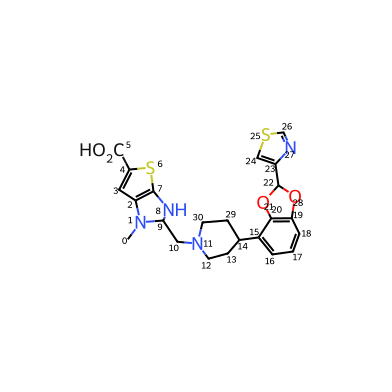 CN1c2cc(C(=O)O)sc2NC1CN1CCC(c2cccc3c2OC(c2cscn2)O3)CC1